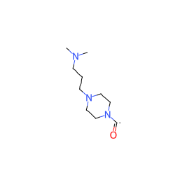 CN(C)CCCN1CCN([C]=O)CC1